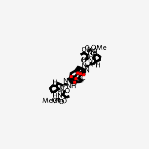 COC(=O)NC(C(=O)N1[C@H](c2nc3cc(-c4cc5ccc4CCc4ccc(c(-c6ccc7[nH]c([C@@H]8C[C@@H]9CCCC[C@@H]9N8C(=O)[C@@H](NC(=O)OC)[C@@H](C)OC)nc7c6)c4)CC5)ccc3[nH]2)C[C@@H]2CCCC[C@@H]21)[C@@H](C)OC